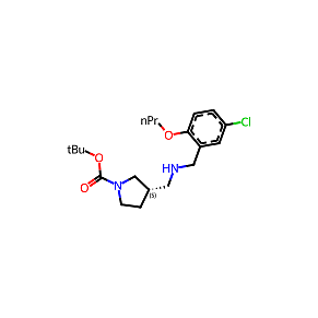 CCCOc1ccc(Cl)cc1CNC[C@@H]1CCN(C(=O)OC(C)(C)C)C1